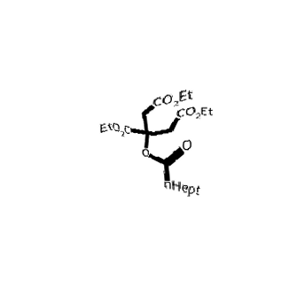 CCCCCCCC(=O)OC(CC(=O)OCC)(CC(=O)OCC)C(=O)OCC